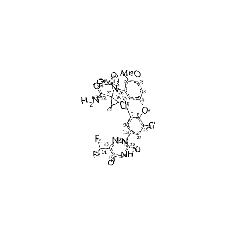 COc1ccc(Oc2c(Cl)cc(-n3nc(C(F)F)c(=O)[nH]c3=O)cc2Cl)cc1N([SH](=O)=O)C1(C(N)=O)CC1